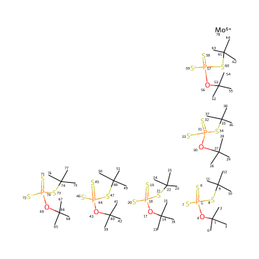 CC(C)(C)OP(=S)([S-])SC(C)(C)C.CC(C)(C)OP(=S)([S-])SC(C)(C)C.CC(C)(C)OP(=S)([S-])SC(C)(C)C.CC(C)(C)OP(=S)([S-])SC(C)(C)C.CC(C)(C)OP(=S)([S-])SC(C)(C)C.CC(C)(C)OP(=S)([S-])SC(C)(C)C.[Mo+6]